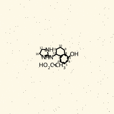 CC(=O)O.Oc1cccc2c1CCCC2NC1=NCCN1